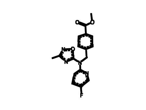 COC(=O)c1ccc(CN(c2ccc(F)cn2)c2nc(C)no2)cc1